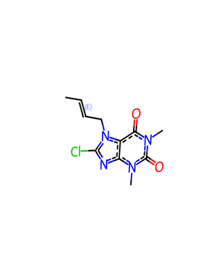 C/C=C/Cn1c(Cl)nc2c1c(=O)n(C)c(=O)n2C